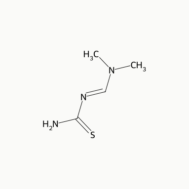 CN(C)C=NC(N)=S